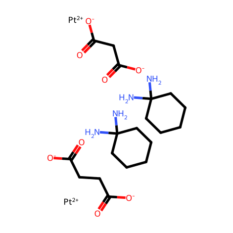 NC1(N)CCCCC1.NC1(N)CCCCC1.O=C([O-])CC(=O)[O-].O=C([O-])CCC(=O)[O-].[Pt+2].[Pt+2]